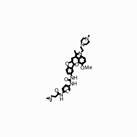 COc1ccc2c(c1)c(C=C1Oc3ccc(NC(=O)Nc4ccc(NC(=O)CCN(C)C)cc4)cc3C1=O)c(C)n2CCN1CCN(C)CC1